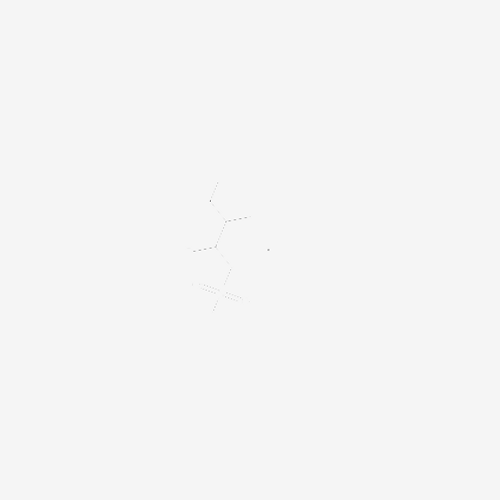 O=S(=O)([O-])CC(F)C(F)CF.[K+]